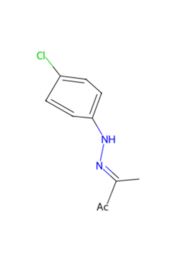 CC(=O)/C(C)=N/Nc1ccc(Cl)cc1